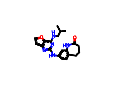 CC(C)CNc1nc(Nc2ccc3c(c2)NC(=O)CCC3)nc2ccoc12